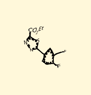 CCOC(=O)c1nnc(-c2ccc(F)c(F)c2)s1